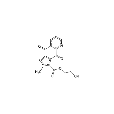 Cc1oc2c(c1C(=O)OCCC#N)C(=O)c1ncccc1C2=O